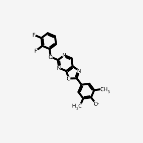 Cc1cc(-c2nc3cnc(Oc4cccc(F)c4F)nc3o2)cc(C)c1[O]